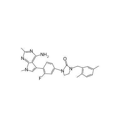 Cc1ccc(C)c(CN2CCN(c3ccc(-c4cn(C)c5nc(C)nc(N)c45)c(F)c3)C2=O)c1